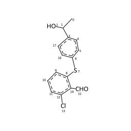 CC(O)c1ccc(Sc2cccc(Cl)c2C=O)cc1